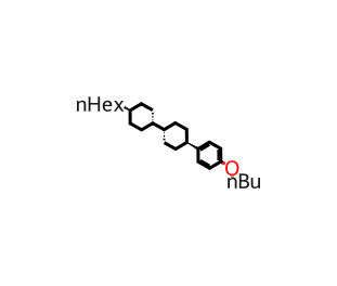 CCCCCC[C@H]1CC[C@H]([C@H]2CC[C@H](c3ccc(OCCCC)cc3)CC2)CC1